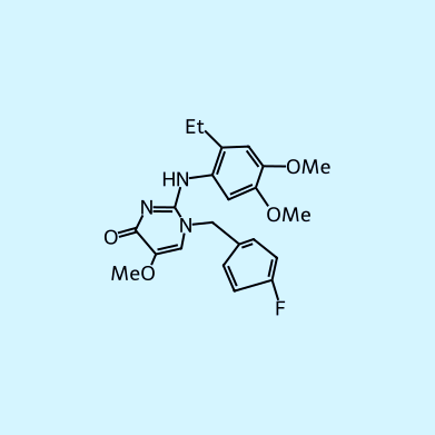 CCc1cc(OC)c(OC)cc1Nc1nc(=O)c(OC)cn1Cc1ccc(F)cc1